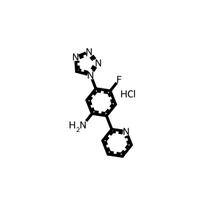 Cl.Nc1cc(-n2cnnn2)c(F)cc1-c1ccccn1